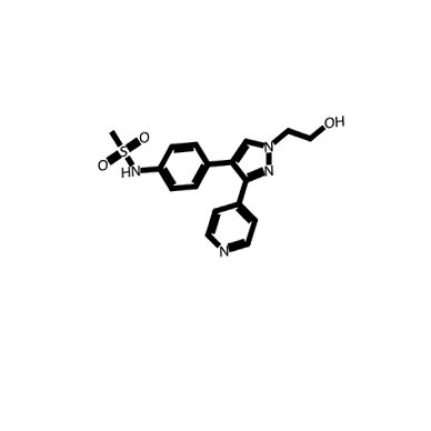 CS(=O)(=O)Nc1ccc(-c2cn(CCO)nc2-c2ccncc2)cc1